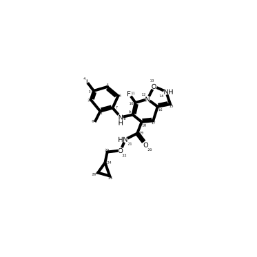 Cc1cc(I)ccc1NC1=C(F)N2ONC=C2C=C1C(=O)NOCC1CC1